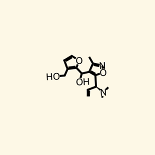 C=C[C@@H](c1onc(C)c1C(O)c1occc1CO)N(C)C